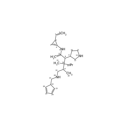 C=CC1C=C1NC(=C)C(C1CCNC1)C(C)(C(C)C)C(C)CNCC1C=CC=C1